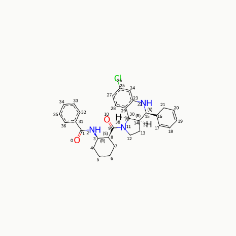 O=C(N[C@@H]1CCCC[C@@H]1C(=O)N1CC[C@@H]2[C@H](C3C=CC=CC3)Nc3cc(Cl)ccc3[C@@H]21)c1ccccc1